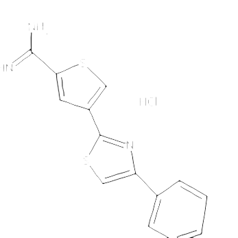 Cl.N=C(N)c1cc(-c2nc(-c3ccccc3)cs2)cs1